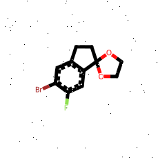 Fc1cc2c(cc1Br)CCC21OCCO1